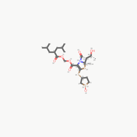 CC(C)CC(CC(C)C)C(=O)OCOC(=O)C1=C(S[C@H]2CC[S@@+]([O-])C2)S[C@@H]2[C@@H]([C@@H](C)O)C(=O)N12